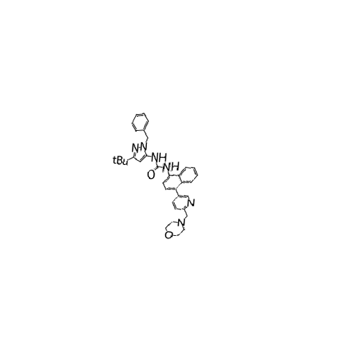 CC(C)(C)c1cc(NC(=O)Nc2ccc(-c3ccc(CN4CCOCC4)nc3)c3ccccc23)n(Cc2ccccc2)n1